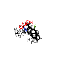 CC(C)(C)N(C=O)C1C[C@@]2(C)C(=C(F)C[C@H]3[C@@H]4CCC[C@@]4(C)CC[C@@H]32)C=C1C(=O)O